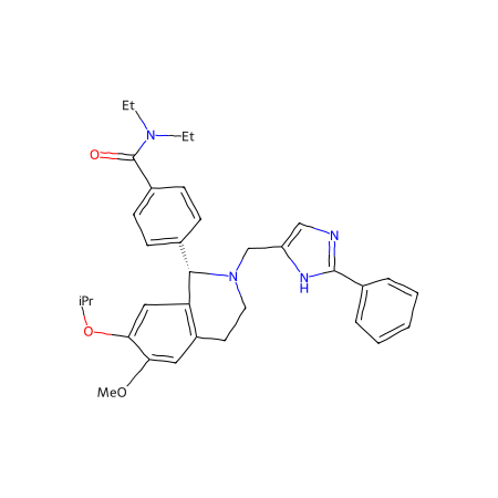 CCN(CC)C(=O)c1ccc([C@H]2c3cc(OC(C)C)c(OC)cc3CCN2Cc2cnc(-c3ccccc3)[nH]2)cc1